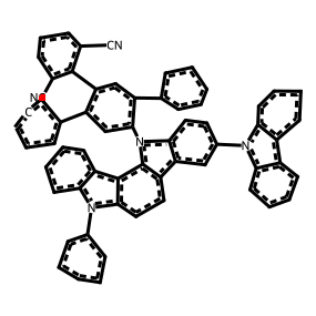 N#Cc1cccc(C#N)c1-c1cc(-c2ccccc2)c(-n2c3ccc(-n4c5ccccc5c5ccccc54)cc3c3ccc4c(c5ccccc5n4-c4ccccc4)c32)cc1-c1ccccc1